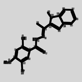 COc1cc(O)c(C(=O)NN=C(C)c2cc3ccccc3n2C)cc1Br